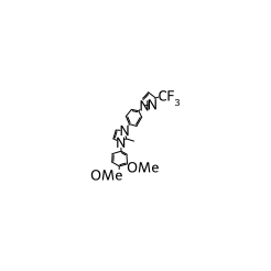 COc1ccc(N2C=CN(c3ccc(-n4ccc(C(F)(F)F)n4)cc3)C2C)cc1OC